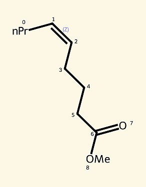 CCC/C=C\CCCC(=O)OC